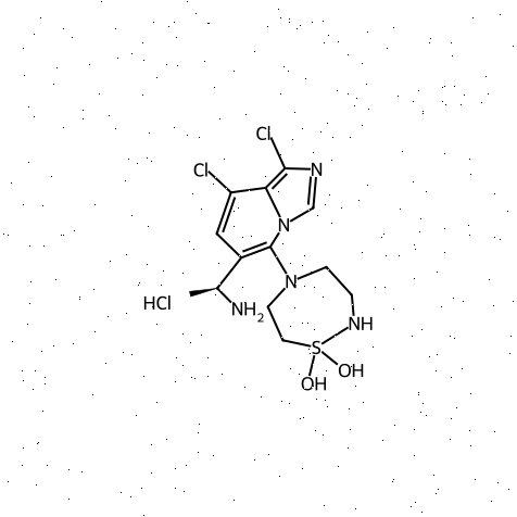 C[C@H](N)c1cc(Cl)c2c(Cl)ncn2c1N1CCNS(O)(O)CC1.Cl